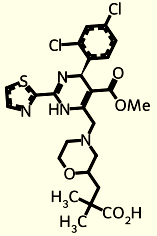 COC(=O)C1=C(CN2CCOC(CC(C)(C)C(=O)O)C2)NC(c2nccs2)=N[C@H]1c1ccc(Cl)cc1Cl